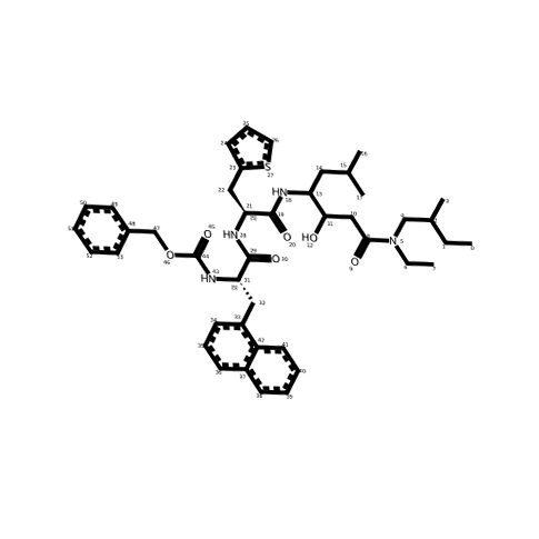 CCC(C)CN(CC)C(=O)CC(O)C(CC(C)C)NC(=O)[C@H](Cc1cccs1)NC(=O)[C@H](Cc1cccc2ccccc12)NC(=O)OCc1ccccc1